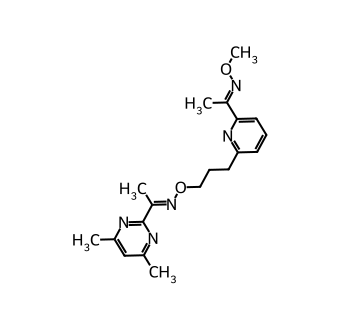 CO/N=C(\C)c1cccc(CCCO/N=C(\C)c2nc(C)cc(C)n2)n1